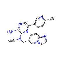 CNN(Cc1ccc2nccn2c1)c1nc(-c2ccc(C#N)nc2)cnc1N